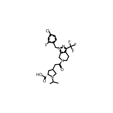 CC(C)N1CC(CC(=O)N2CCc3c(C(F)(F)F)nn(Cc4ccc(Cl)cc4F)c3C2)C[C@H]1C(=O)O